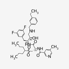 CCCC(CCC)S(=O)(=O)C[C@@H](NC(=O)c1cncc(C)c1)C(=O)N[C@@H](Cc1cc(F)cc(F)c1)[C@H](O)CNCc1cccc(CC)c1